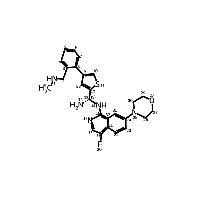 CNCc1ccccc1-c1csc([C@@H](N)Nc2ncc(F)c3ccc(N4CCOCC4)cc23)c1